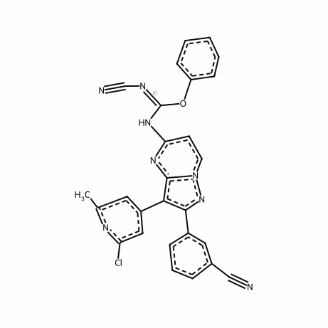 Cc1cc(-c2c(-c3cccc(C#N)c3)nn3ccc(N/C(=N\C#N)Oc4ccccc4)nc23)cc(Cl)n1